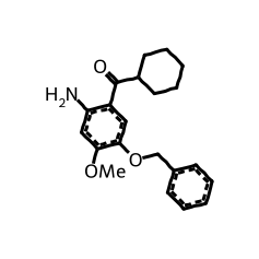 COc1cc(N)c(C(=O)C2CCCCC2)cc1OCc1ccccc1